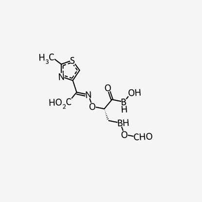 Cc1nc(/C(=N/O[C@@H](CBOC=O)C(=O)BO)C(=O)O)cs1